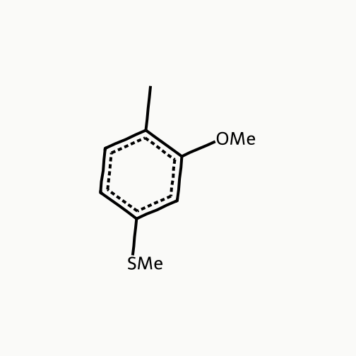 COc1cc(SC)ccc1C